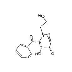 O=C(c1ccccc1)c1c(O)c(=O)ccn1CCO